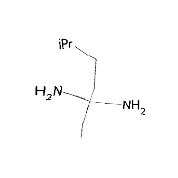 CC(C)CC(C)(N)N